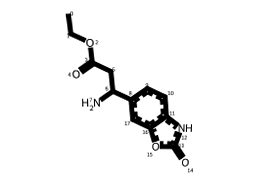 CCOC(=O)CC(N)c1ccc2[nH]c(=O)oc2c1